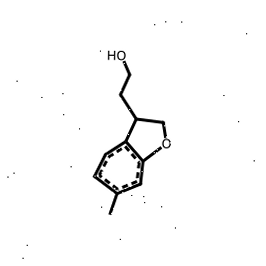 Cc1ccc2c(c1)OCC2CCO